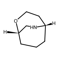 C1C[C@H]2CCO[C@@H](C1)CN2